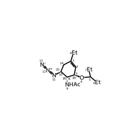 CCC1=C[C@@H](OC(CC)CC)[C@H](NC(C)=O)[C@@H](N=[N+]=[N-])C1